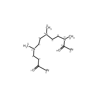 CC(C)C(=O)CCN(C)CCN(C)CCN(C)C(=O)C(C)C